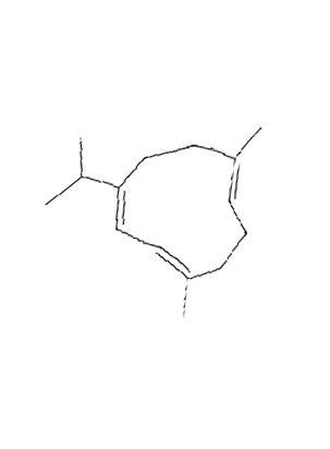 C/C1=C\C=C(\C(C)C)CC/C(C)=C/CC1